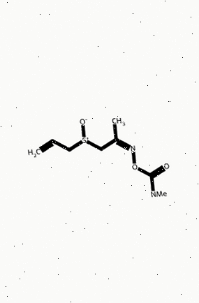 C=CC[S+]([O-])CC(C)=NOC(=O)NC